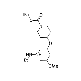 C=C(CC(CNNCC)OC1CCN(C(=O)OC(C)(C)C)CC1)OC